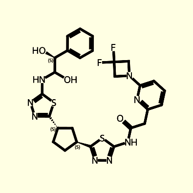 O=C(Cc1cccc(N2CC(F)(F)C2)n1)Nc1nnc([C@H]2CC[C@H](c3nnc(NC(O)[C@@H](O)c4ccccc4)s3)C2)s1